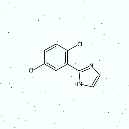 Clc1ccc(Cl)c(-c2ncc[nH]2)c1